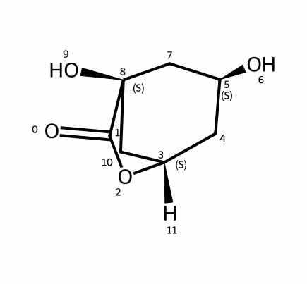 O=C1O[C@H]2C[C@H](O)C[C@]1(O)C2